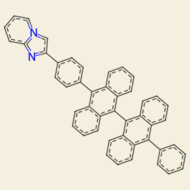 c1ccc(-c2c3ccccc3c(-c3c4ccccc4c(-c4ccc(-c5cn6ccccc6n5)cc4)c4ccccc34)c3ccccc23)cc1